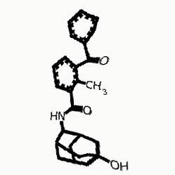 Cc1c(C(=O)NC2C3CC4CC2CC(O)(C4)C3)cccc1C(=O)c1ccccc1